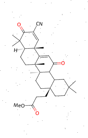 COC(=O)CC[C@]12CCC(C)(C)CC1C1C(=O)C=C3[C@@]4(C)C=C(C#N)C(=O)C(C)(C)[C@@H]4CC[C@@]3(C)[C@]1(C)CC2